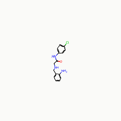 Nc1ccccc1CNCC(=O)Nc1ccc(Cl)cc1